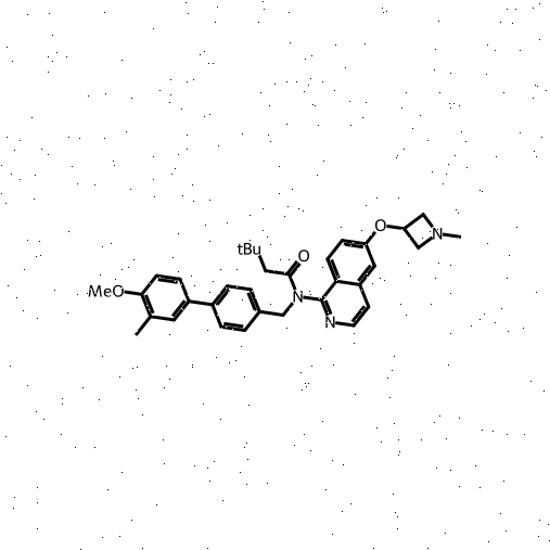 COc1ccc(-c2ccc(CN(C(=O)CC(C)(C)C)c3nccc4cc(OC5CN(C)C5)ccc34)cc2)cc1C